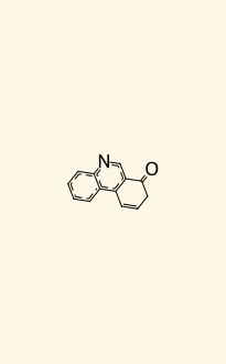 O=C1CC=Cc2c1cnc1ccccc21